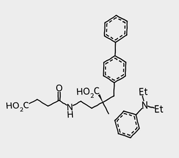 CCN(CC)c1ccccc1.C[C@](CCNC(=O)CCC(=O)O)(Cc1ccc(-c2ccccc2)cc1)C(=O)O